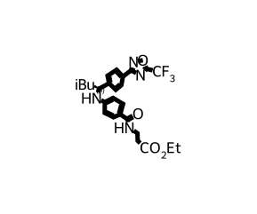 CCOC(=O)CCNC(=O)c1ccc(N[C@H](c2ccc(-c3noc(C(F)(F)F)n3)cc2)C(C)CC)cc1